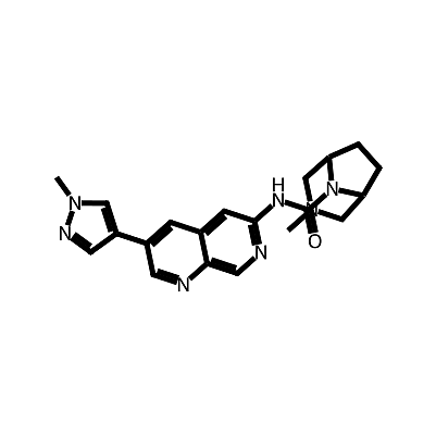 CN1CC2CCC(C1)N2C(=O)Nc1cc2cc(-c3cnn(C)c3)cnc2cn1